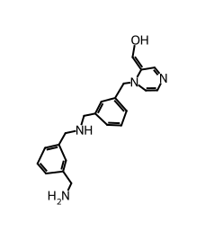 NCc1cccc(CNCc2cccc(CN3C=CN=CC3=CO)c2)c1